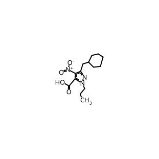 CCCn1nc(CC2CCCCC2)c([N+](=O)[O-])c1C(=O)O